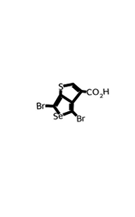 O=C(O)c1csc2c(Br)[se]c(Br)c12